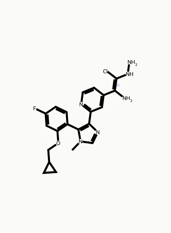 Cn1cnc(-c2cc(/C(N)=C(\Cl)NN)ccn2)c1-c1ccc(F)cc1OCC1CC1